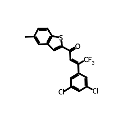 Cc1ccc2sc(C(=O)/C=C(/c3cc(Cl)cc(Cl)c3)C(F)(F)F)cc2c1